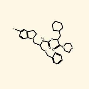 O=C(NC(COCc1ccccc1)CN1CCc2cc(F)ccc21)OC(CC1CCCCC1)C(=O)N1CCOCC1